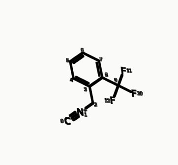 [C-]#[N+]Cc1ccccc1C(F)(F)F